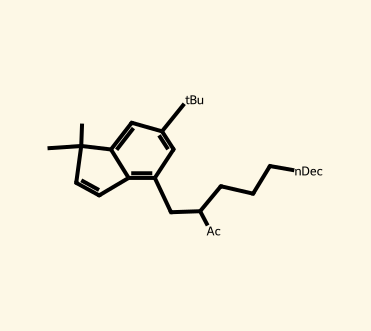 CCCCCCCCCCCCCC(Cc1cc(C(C)(C)C)cc2c1C=CC2(C)C)C(C)=O